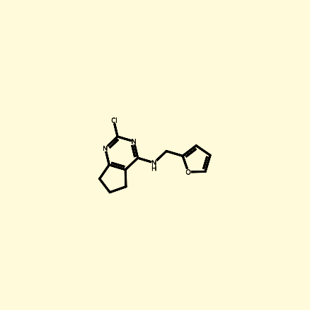 Clc1nc2c(c(NCc3ccco3)n1)CCC2